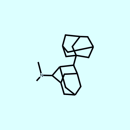 CN(C)C1C2CC3CC(C2)[C](C24CC5CC(CC(C5)C2)C4)C1C3